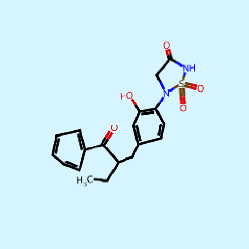 CCC(Cc1ccc(N2CC(=O)NS2(=O)=O)c(O)c1)C(=O)c1ccccc1